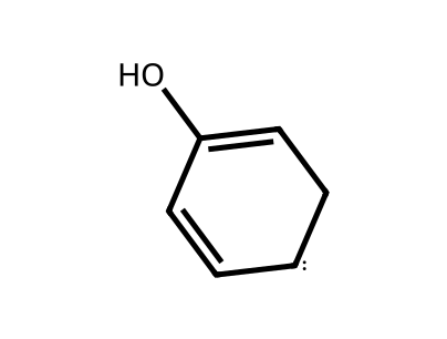 OC1=CC[C]C=C1